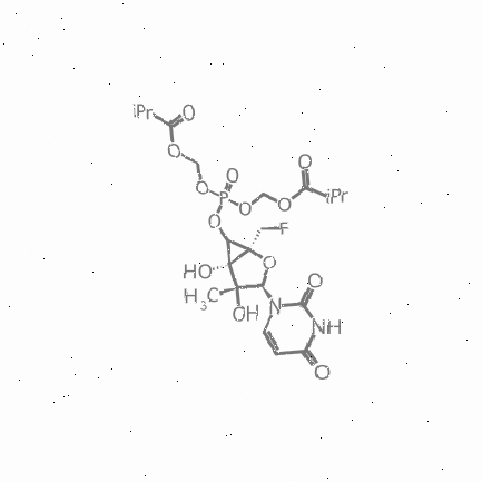 CC(C)C(=O)OCOP(=O)(OCOC(=O)C(C)C)OC1[C@]2(O)[C@@](C)(O)[C@H](n3ccc(=O)[nH]c3=O)O[C@]12CF